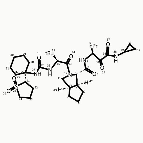 CCC[C@H](NC(=O)[C@@H]1[C@H]2CCC[C@H]2CN1C(=O)[C@@H](NC(=O)NC1([C@@H]2CCCS2(=O)=O)CCCCC1)C(C)(C)C)C(=O)C(=O)NC1CC1